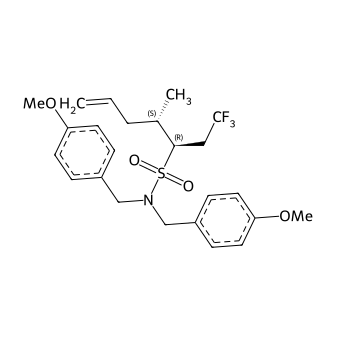 C=CC[C@H](C)[C@@H](CC(F)(F)F)S(=O)(=O)N(Cc1ccc(OC)cc1)Cc1ccc(OC)cc1